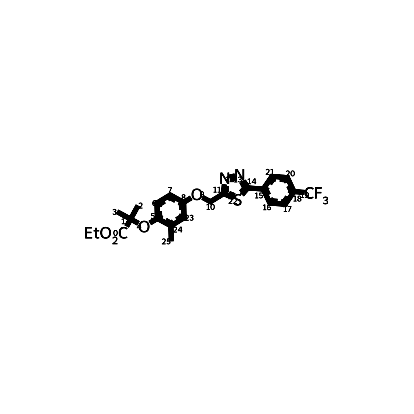 CCOC(=O)C(C)(C)Oc1ccc(OCc2nnc(-c3ccc(C(F)(F)F)cc3)s2)cc1C